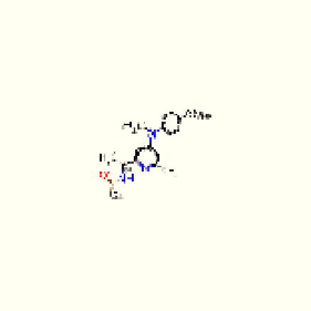 COc1ccc(N(C)c2cc([C@@H](C)N[S+]([O-])C(C)(C)C)nc(C(F)(F)F)c2)cc1